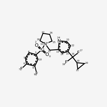 O=S(=O)(c1ccc(F)c(F)c1)[N+]1(Cc2cc(C(F)(F)C3CC3)ccn2)CCCC1